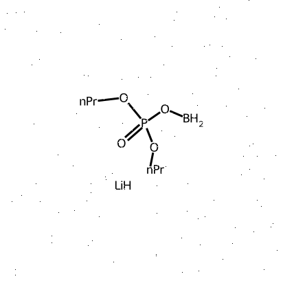 BOP(=O)(OCCC)OCCC.[LiH]